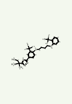 CC(N)(CO)c1nnc(-c2ccc(OCCCCOc3ccccc3C(F)(F)F)c(C(F)(F)F)c2)s1